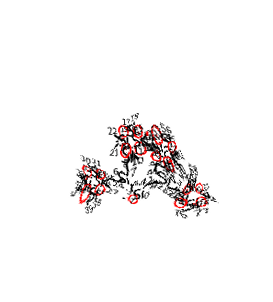 C[Si]([O])(CC[Si](C)(CC[Si]1(C)O[Si](C)(C)O[Si](C)(C)O[Si](C)(C)O1)CC[Si]1(C)O[Si](C)(C)O[Si](C)(C)O[Si](C)(C)O1)CC[Si](C)(CC[Si]1(C)O[Si](C)(C)O[Si](C)(C)O[Si](C)(C)O1)CC[Si]1(C)O[Si](C)(C)O[Si](C)(C)O[Si](C)(C)O1